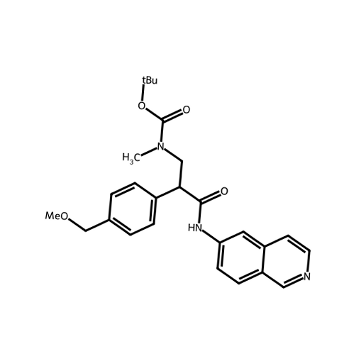 COCc1ccc(C(CN(C)C(=O)OC(C)(C)C)C(=O)Nc2ccc3cnccc3c2)cc1